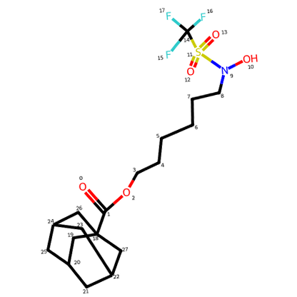 O=C(OCCCCCCN(O)S(=O)(=O)C(F)(F)F)C12CC3CC(CC(C3)C1)C2